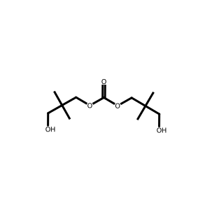 CC(C)(CO)COC(=O)OCC(C)(C)CO